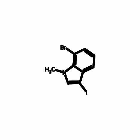 Cn1cc(I)c2cccc(Br)c21